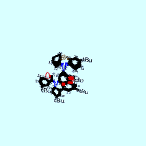 Cc1cc(N(c2ccc(C(C)(C)C)cc2-c2cc(C(C)(C)C)cc(C(C)(C)C)c2)c2coc3ccc(C(C)(C)C)cc23)cc(N(c2ccc(C(C)(C)C)cc2Br)C2CC3CCC2C3)c1